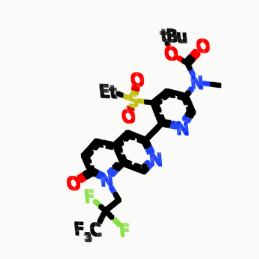 CCS(=O)(=O)c1cc(N(C)C(=O)OC(C)(C)C)cnc1-c1cc2ccc(=O)n(CC(F)(F)C(F)(F)F)c2cn1